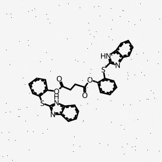 O=C(CCC(=O)Oc1ccccc1Sc1nc2ccccc2[nH]1)Oc1ccccc1Sc1nc2ccccc2[nH]1